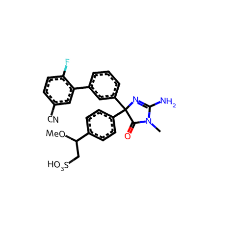 COC(CS(=O)(=O)O)c1ccc(C2(c3cccc(-c4cc(C#N)ccc4F)c3)N=C(N)N(C)C2=O)cc1